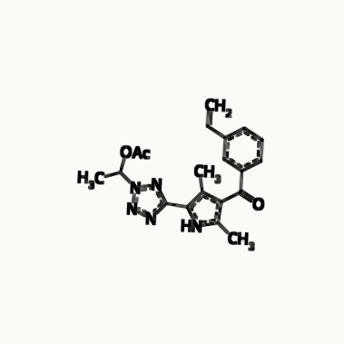 C=Cc1cccc(C(=O)c2c(C)[nH]c(-c3nnn(C(C)OC(C)=O)n3)c2C)c1